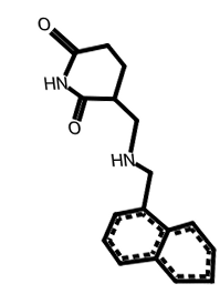 O=C1CCC(CNCc2cccc3ccccc23)C(=O)N1